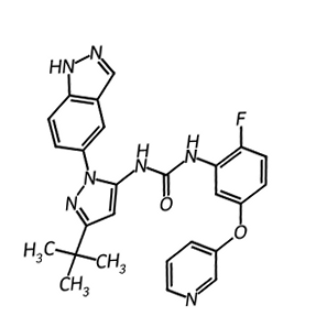 CC(C)(C)c1cc(NC(=O)Nc2cc(Oc3cccnc3)ccc2F)n(-c2ccc3[nH]ncc3c2)n1